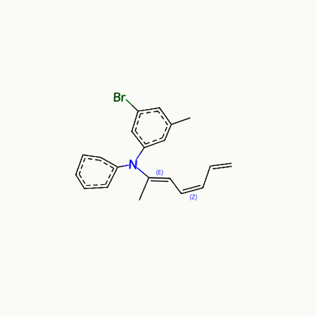 C=C/C=C\C=C(/C)N(c1ccccc1)c1cc(C)cc(Br)c1